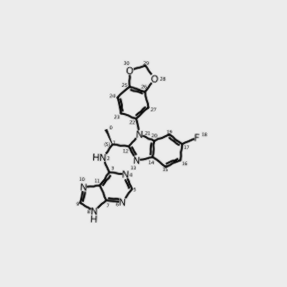 C[C@H](Nc1ncnc2[nH]cnc12)c1nc2ccc(F)cc2n1-c1ccc2c(c1)OCO2